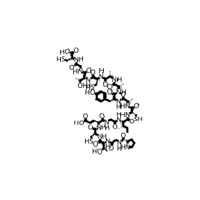 CC[C@H](C)[C@H](NC(=O)CNC(=O)[C@H](CCC(=O)O)NC(=O)[C@H](CS)NC(=O)[C@@H](NC(=O)CNC(=O)[C@@H]1CCCN1)[C@@H](C)O)C(=O)N[C@@H](CS)C(=O)N[C@@H](C)C(=O)N[C@@H](Cc1ccc(O)cc1)C(=O)N[C@@H](C)C(=O)N[C@@H](C)C(=O)N[C@@H](CS)C(=O)N[C@H](C(=O)NCC(=O)N[C@@H](CS)C(=O)O)[C@@H](C)O